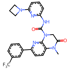 CN1C(=O)CN(C(=O)Nc2cccc(N3CCC3)n2)c2nc(-c3cccc(C(F)(F)F)c3)ccc21